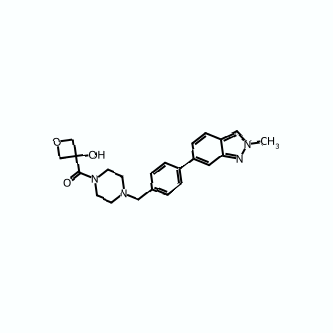 Cn1cc2ccc(-c3ccc(CN4CCN(C(=O)C5(O)COC5)CC4)cc3)cc2n1